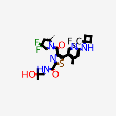 Cc1cc(NC2(C(F)(F)F)CCC2)ncc1-c1sc(C(=O)NCC(C)(C)O)nc1C(=O)N1CC(F)(F)C[C@@H]1C